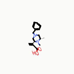 C=C(C(=O)O)[C@H]1CN(Cc2ccccc2)C[C@H](C)N1C